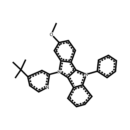 COc1ccc2c(c1)n(-c1cc(C(C)(C)C)ccn1)c1c3ccccc3n(-c3ccccc3)c21